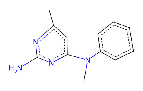 Cc1cc(N(C)c2ccccc2)nc(N)n1